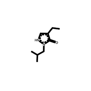 CCc1c[nH]n(CC(C)C)c1=O